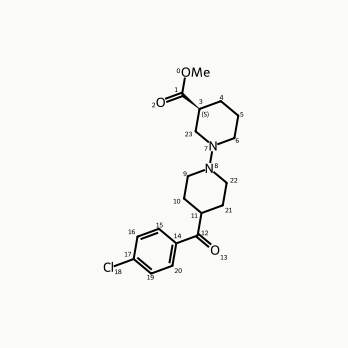 COC(=O)[C@H]1CCCN(N2CCC(C(=O)c3ccc(Cl)cc3)CC2)C1